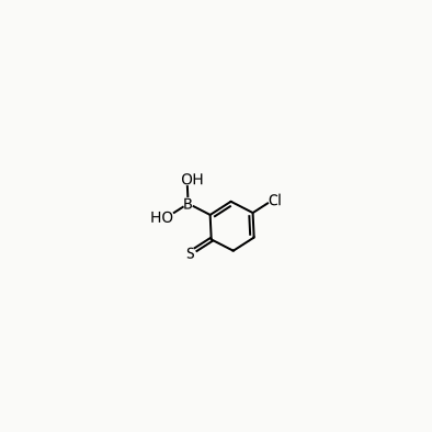 OB(O)C1=CC(Cl)=CCC1=S